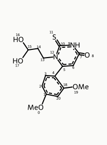 COc1ccc(-c2cc(=O)[nH]c(=S)n2CCC(O)O)c(OC)c1